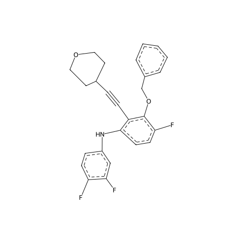 Fc1ccc(Nc2ccc(F)c(OCc3ccccc3)c2C#CC2CCOCC2)cc1F